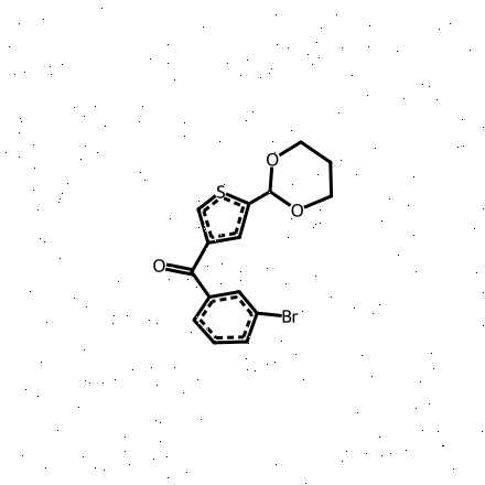 O=C(c1cccc(Br)c1)c1csc(C2OCCCO2)c1